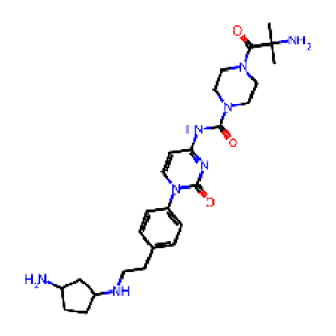 CC(C)(N)C(=O)N1CCN(C(=O)Nc2ccn(-c3ccc(CCNC4CCC(N)C4)cc3)c(=O)n2)CC1